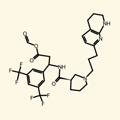 O=COC(=O)CC(NC(=O)[C@@H]1CCCN(CCCc2ccc3c(n2)NCCC3)C1)c1cc(C(F)(F)F)cc(C(F)(F)F)c1